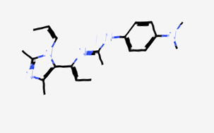 C/C=C\n1c(C)nc(C)c1C(=C/C)/N=C(\C)Nc1ccc(N(C)C)cc1